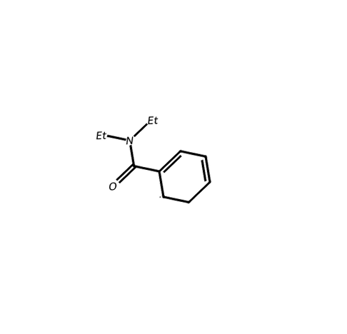 CCN(CC)C(=O)C1=CC=CC[CH]1